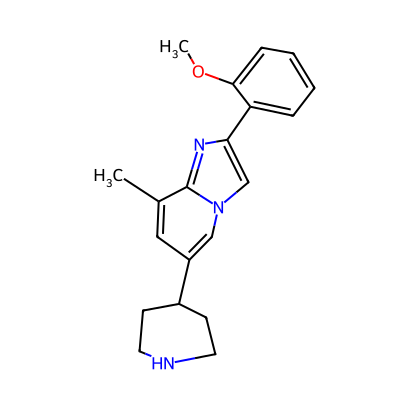 COc1ccccc1-c1cn2cc(C3CCNCC3)cc(C)c2n1